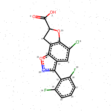 O=C(O)C1Cc2c(c(Cl)cc3c(-c4c(F)cccc4F)noc23)O1